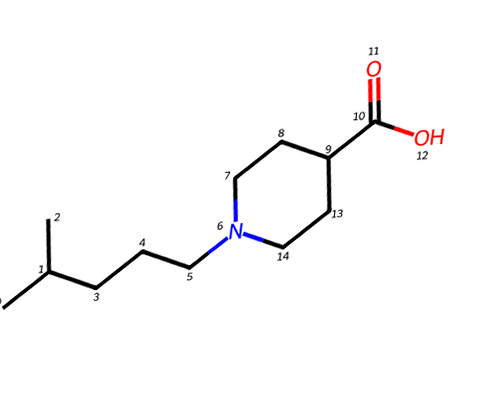 CC(C)CCCN1CCC(C(=O)O)CC1